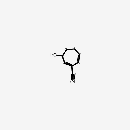 CC1C=C(C#N)C=CCC1